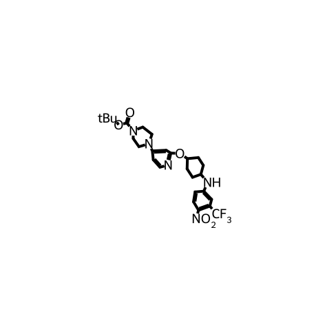 CC(C)(C)OC(=O)N1CCN(c2ccnc(OC3CCC(Nc4ccc([N+](=O)[O-])c(C(F)(F)F)c4)CC3)c2)CC1